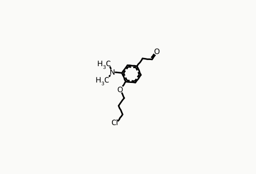 CN(C)c1cc(CC=O)ccc1OCCCCl